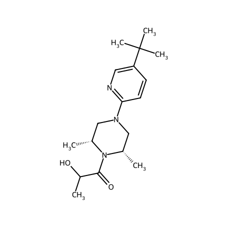 CC(O)C(=O)N1[C@H](C)CN(c2ccc(C(C)(C)C)cn2)C[C@@H]1C